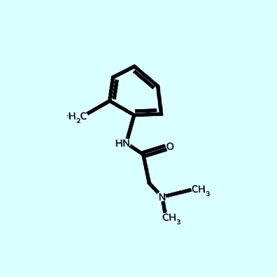 [CH2]c1ccccc1NC(=O)CN(C)C